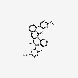 COc1ncc(-c2cccc3cc([C@H](C)Nc4nc(N)ncc4I)n(-c4ccccc4)c(=O)c23)cn1